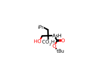 CC(C)CC(CO)([AsH]C(=O)OC(C)(C)C)C(=O)O